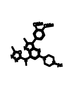 COc1ccc(-c2c(C)nn3c(N(C)c4nnc(C)o4)cc(N4CCN(C(C)=O)CC4)nc23)cc1OC